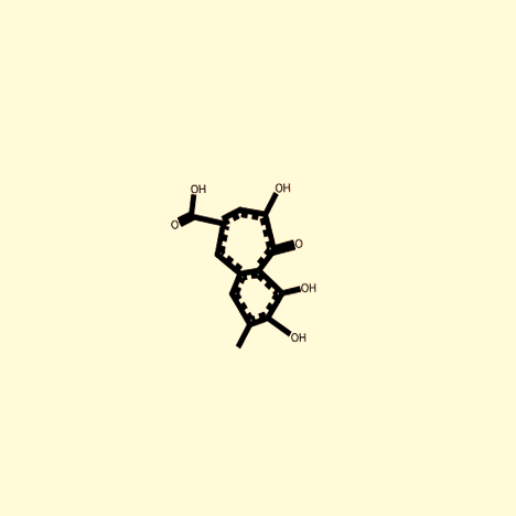 Cc1cc2cc(C(=O)O)cc(O)c(=O)c2c(O)c1O